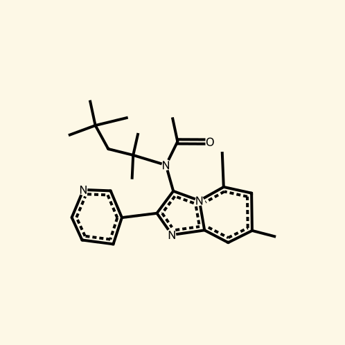 CC(=O)N(c1c(-c2cccnc2)nc2cc(C)cc(C)n12)C(C)(C)CC(C)(C)C